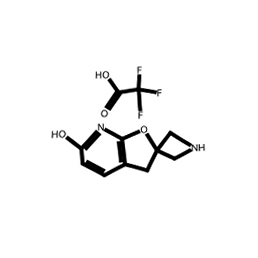 O=C(O)C(F)(F)F.Oc1ccc2c(n1)OC1(CNC1)C2